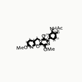 COc1ccc(Cn2c(=O)c(OC)nn(-c3ccc(F)c(NC(C)=O)c3)c2=O)cn1